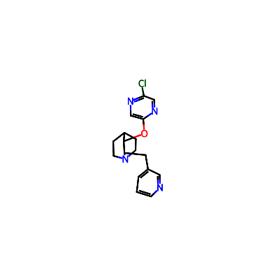 Clc1cnc(OC2C3CCN(CC3)C2Cc2cccnc2)cn1